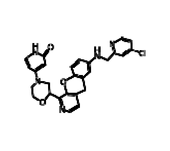 O=c1cc(N2CCOC(c3nccc4c3Oc3ccc(NCc5cc(Cl)ccn5)cc3C4)C2)cc[nH]1